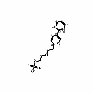 O=S(=O)([O-])OCCOCC[n+]1ccc(-c2ncccn2)cn1